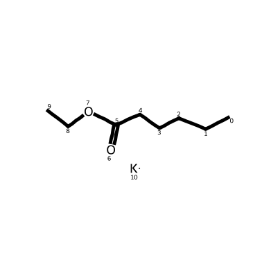 CCCCCC(=O)OCC.[K]